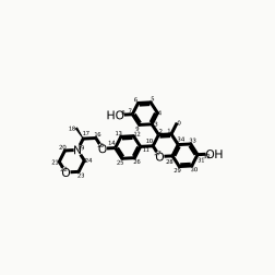 CC1=C(c2cccc(O)c2)C(c2ccc(OC[C@H](C)N3CCOCC3)cc2)Oc2ccc(O)cc21